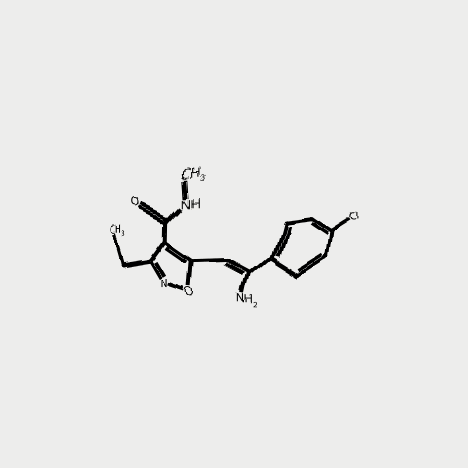 CCc1noc(C=C(N)c2ccc(Cl)cc2)c1C(=O)NC